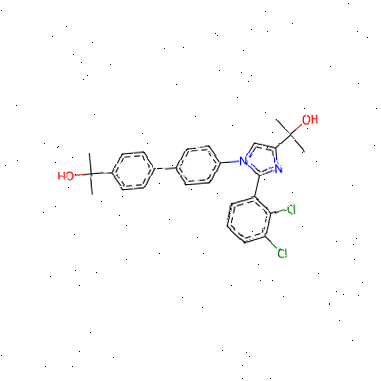 CC(C)(O)c1ccc(-c2ccc(-n3cc(C(C)(C)O)nc3-c3cccc(Cl)c3Cl)cc2)cc1